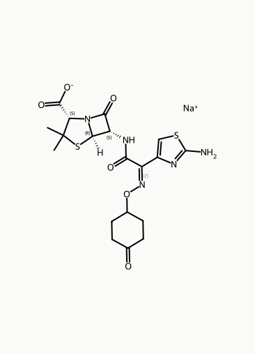 CC1(C)S[C@@H]2[C@@H](NC(=O)/C(=N\OC3CCC(=O)CC3)c3csc(N)n3)C(=O)N2[C@H]1C(=O)[O-].[Na+]